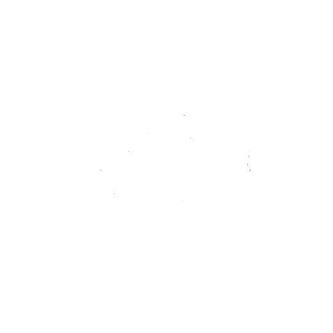 COCc1ccc(N2CCC[C@@H]2c2csc(NC(=O)c3cccn3Cc3ccncc3)n2)cc1